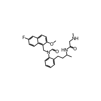 CNCC(=O)NC(C)CCc1ccccc1N(C=O)Cc1c(OC)ccc2cc(F)ccc12